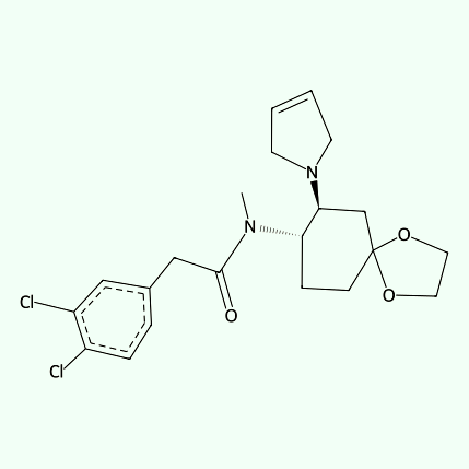 CN(C(=O)Cc1ccc(Cl)c(Cl)c1)[C@H]1CCC2(C[C@@H]1N1CC=CC1)OCCO2